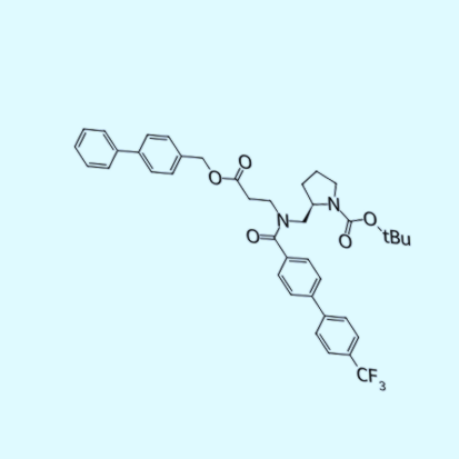 CC(C)(C)OC(=O)N1CCC[C@@H]1CN(CCC(=O)OCc1ccc(-c2ccccc2)cc1)C(=O)c1ccc(-c2ccc(C(F)(F)F)cc2)cc1